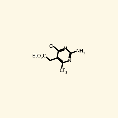 CCOC(=O)Cc1c(Cl)nc(N)nc1C(F)(F)F